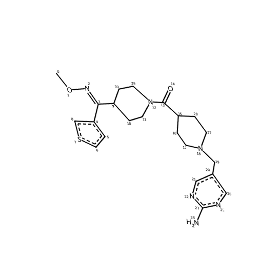 CO/N=C(\c1ccsc1)C1CCN(C(=O)C2CCN(Cc3cnc(N)nc3)CC2)CC1